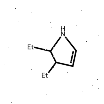 CCC1C=CNC1CC